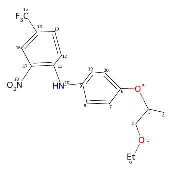 CCOCC(C)Oc1ccc(Nc2ccc(C(F)(F)F)cc2[N+](=O)[O-])cc1